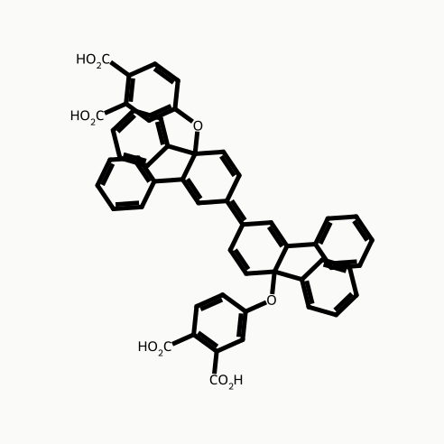 O=C(O)c1ccc(OC2(c3ccccc3)C=CC(=C3C=CC(Oc4ccc(C(=O)O)c(C(=O)O)c4)(c4ccccc4)C(c4ccccc4)=C3)C=C2c2ccccc2)cc1C(=O)O